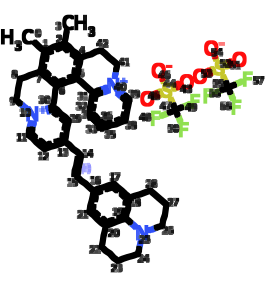 Cc1c(C)c2c(c3c1CC[n+]1ccc(/C=C/c4cc5c6c(c4)CCCN6CCC5)cc1-3)-c1c3ccccc3cc[n+]1CC2.O=S(=O)([O-])C(F)(F)F.O=S(=O)([O-])C(F)(F)F